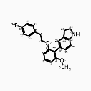 COc1cccc(OCCc2ccc(F)cc2)c1-c1ccc2c(c1)CCN2